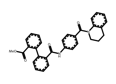 COC(=O)c1ccccc1-c1ccccc1C(=O)Nc1ccc(C(=O)N2CCCc3ccccc32)cc1